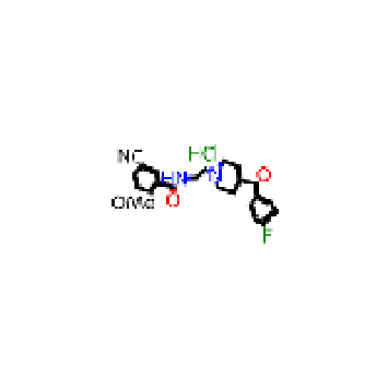 COc1ccc(C#N)cc1C(=O)NCCN1CCC(C(=O)c2ccc(F)cc2)CC1.Cl